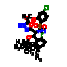 COc1cc(Cl)ccc1S(=O)(=O)NC(c1n[nH]c(=O)o1)C(O[Si](C)(C)C(C)(C)C)c1c(F)ccc(C)c1C